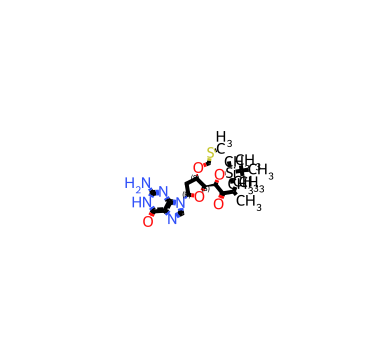 CSCO[C@H]1C[C@H](n2cnc3c(=O)[nH]c(N)nc32)O[C@@H]1C(O[Si](C)(C)C(C)(C)C)C(=O)C(C)C